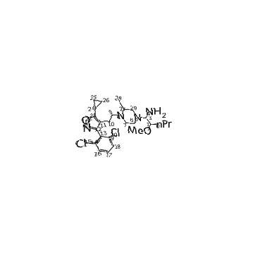 CCC[C@@H](OC)C(N)N1CCN(CCc2c(-c3c(Cl)cccc3Cl)noc2C2CC2)C(C)C1